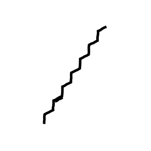 CCCC=CCCCCCCCCCC